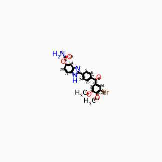 COc1cc(C(=O)c2ccc(-c3nc4cc(OC(N)=O)ccc4[nH]3)cc2)cc(Br)c1OC